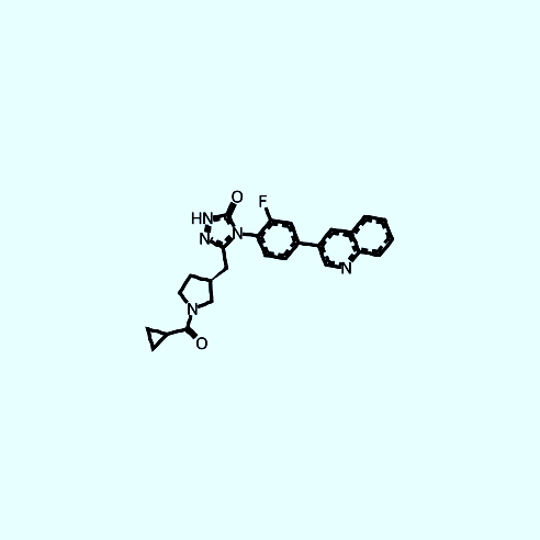 O=C(C1CC1)N1CC[C@@H](Cc2n[nH]c(=O)n2-c2ccc(-c3cnc4ccccc4c3)cc2F)C1